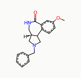 COc1ccc2c(c1)C(=O)NC[C@H]1CN(Cc3ccccc3)CC21